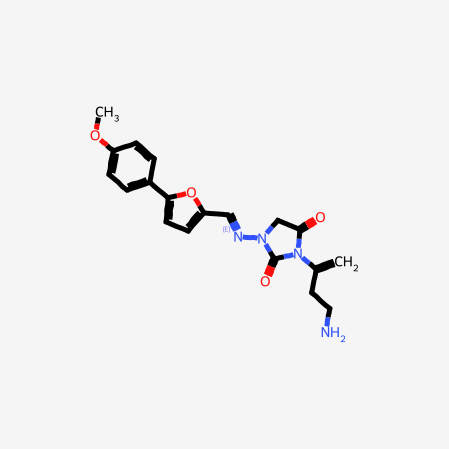 C=C(CCN)N1C(=O)CN(/N=C/c2ccc(-c3ccc(OC)cc3)o2)C1=O